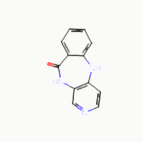 O=C1Nc2cnccc2Nc2ccccc21